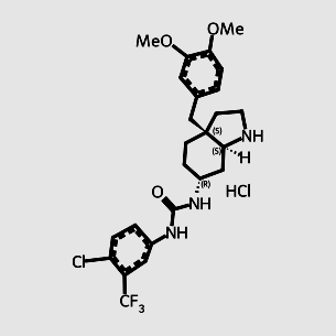 COc1ccc(C[C@@]23CCN[C@H]2C[C@H](NC(=O)Nc2ccc(Cl)c(C(F)(F)F)c2)CC3)cc1OC.Cl